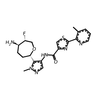 Cc1cccnc1-c1nc(C(=O)Nc2cnn(C)c2[C@@H]2CC[C@@H](N)[C@H](F)CO2)cs1